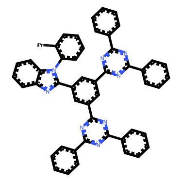 CC(C)c1ccccc1-n1c(-c2cc(-c3nc(-c4ccccc4)nc(-c4ccccc4)n3)cc(-c3nc(-c4ccccc4)nc(-c4ccccc4)n3)c2)nc2ccccc21